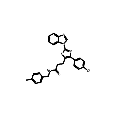 Cc1ccc(CNC(=O)CCc2sc(-n3cnc4ccccc43)nc2-c2ccc(Cl)cc2)cc1